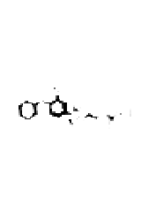 NC(=O)OCCNS(=O)(=O)c1ccc(NC2CCCCC2)c(N)c1